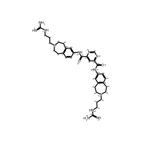 N=C(N)NCCCN1CCc2ccc(NC(=O)c3cc(C(=O)Nc4ccc5c(c4)CCN(CCCNC(=N)N)CC5)ncn3)cc2CC1